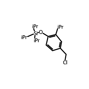 CC(C)c1cc(CCl)ccc1O[Si](C(C)C)(C(C)C)C(C)C